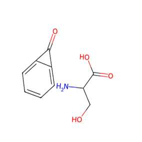 NC(CO)C(=O)O.O=c1c2ccccc12